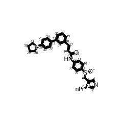 CCCn1cncc1C[S@+]([O-])c1ccc(NC(=O)/C=C/c2cccc(-c3ccc(N4CCCC4)cc3)c2)cc1